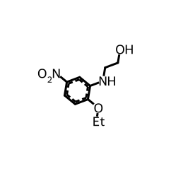 CCOc1ccc([N+](=O)[O-])cc1NCCO